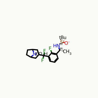 C[C@@H](N[S@+]([O-])C(C)(C)C)c1cccc(C(F)(F)C2CC3CCC(C2)N3C(=O)O)c1F